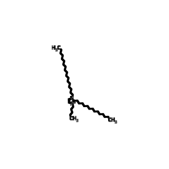 CCCCCCCCCCCCCCCCCCn1cc[n+](CCCCC)c1CCCCCCCCCCCCCC